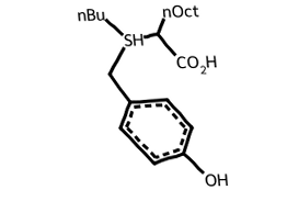 CCCCCCCCC(C(=O)O)[SH](CCCC)Cc1ccc(O)cc1